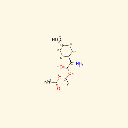 CCCC(=O)OC(C)OC(=O)C(N)[C@H]1CC[C@H](C(=O)O)CC1